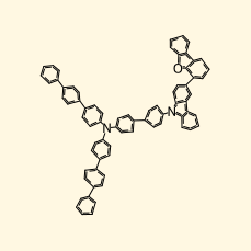 c1ccc(-c2ccc(-c3ccc(N(c4ccc(-c5ccc(-c6ccccc6)cc5)cc4)c4ccc(-c5ccc(-n6c7ccccc7c7cc(-c8cccc9c8oc8ccccc89)ccc76)cc5)cc4)cc3)cc2)cc1